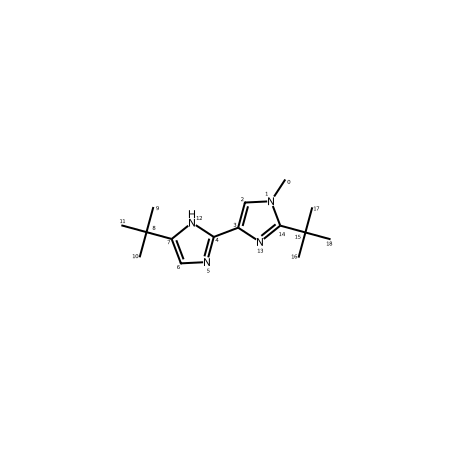 Cn1cc(-c2ncc(C(C)(C)C)[nH]2)nc1C(C)(C)C